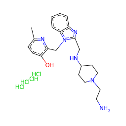 Cc1ccc(O)c(Cn2c(CNC3CCN(CCN)CC3)nc3ccccc32)n1.Cl.Cl.Cl.Cl